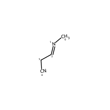 CN=CCC#N